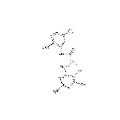 COc1ccc(C(F)(F)F)cc1NC(=O)[C@H](C)Nc1nc(N)nc(SC)c1C#N